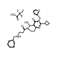 O=C(CCNCc1ccccc1)N1CCc2nc(C3CCC3)n(Cc3ccco3)c(=O)c2C1S.O=C(O)C(F)(F)F